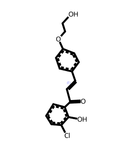 O=C(/C=C/c1ccc(OCCO)cc1)c1cccc(Cl)c1O